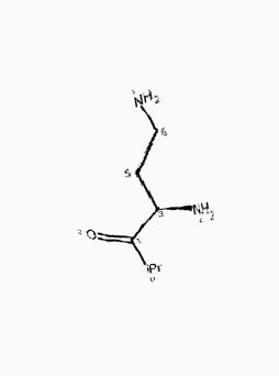 CC(C)C(=O)[C@H](N)CCN